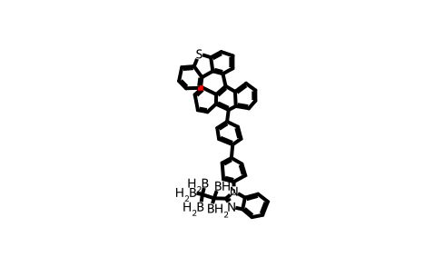 BC(B)(B)C(B)(B)c1nc2ccccc2n1-c1ccc(-c2ccc(-c3c4ccccc4c(-c4cccc5sc6ccccc6c45)c4ccccc34)cc2)cc1